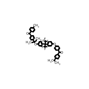 CCC(CC)(Oc1ccc(C(c2ccc(Oc3ccc(C(=O)c4ccc(C(C)C)cc4)cc3)cc2)(C(F)(F)F)C(F)(F)F)cc1)c1ccc(C(=O)c2ccc(C)cc2)cc1